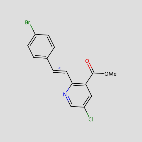 COC(=O)c1cc(Cl)cnc1/C=C/c1ccc(Br)cc1